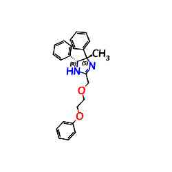 C[C@@]1(c2ccccc2)N=C(COCCOc2ccccc2)N[C@@H]1c1ccccc1